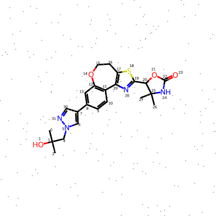 CC(C)(O)Cn1cc(-c2ccc3c(c2)OCCc2sc(C4OC(=O)NC4(C)C)nc2-3)cn1